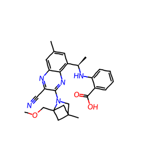 COCC12CC(C)(CN1c1nc3c([C@@H](C)Nc4ccccc4C(=O)O)cc(C)cc3nc1C#N)C2